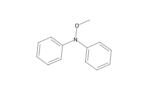 CON(c1ccccc1)c1ccccc1